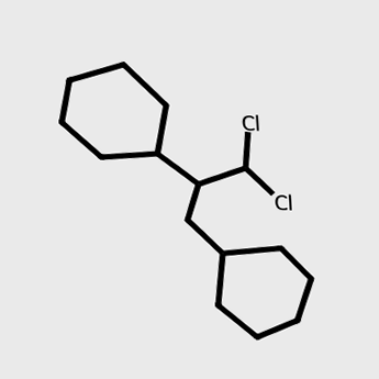 ClC(Cl)C(CC1CCCCC1)C1CCCCC1